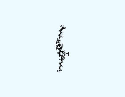 CCCCCCCOC1C=CC(c2cnc(OCCCCCCC3CC3)cn2)=CN1